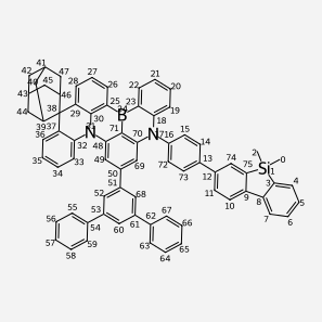 C[Si]1(C)c2ccccc2-c2ccc(-c3ccc(N4c5ccccc5B5c6cccc7c6N(c6ccccc6C76C7CC8CC(C7)CC6C8)c6cc(-c7cc(-c8ccccc8)cc(-c8ccccc8)c7)cc4c65)cc3)cc21